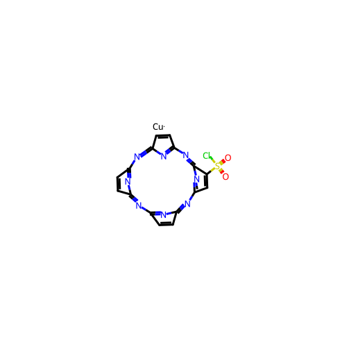 O=S(=O)(Cl)C1=CC2=NC/1=N\C1=NC(=N\C3=NC(=N\C4=NC(=N\2)/C=C4)/C=C3)/C=C1.[Cu]